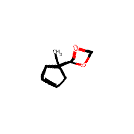 CC1(C2OCO2)CC=CC1